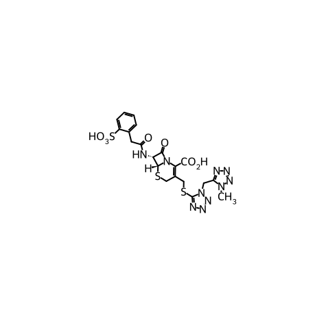 Cn1nnnc1Cn1nnnc1SCC1=C(C(=O)O)N2C(=O)[C@@H](NC(=O)Cc3ccccc3S(=O)(=O)O)[C@H]2SC1